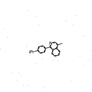 Cc1cnc(-c2ccc(C(C)C)cc2)c2ccccc12